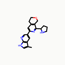 Cc1c[nH]c2ncc(-c3cc4c(c(C5CCCN5)n3)COCC4)cc12